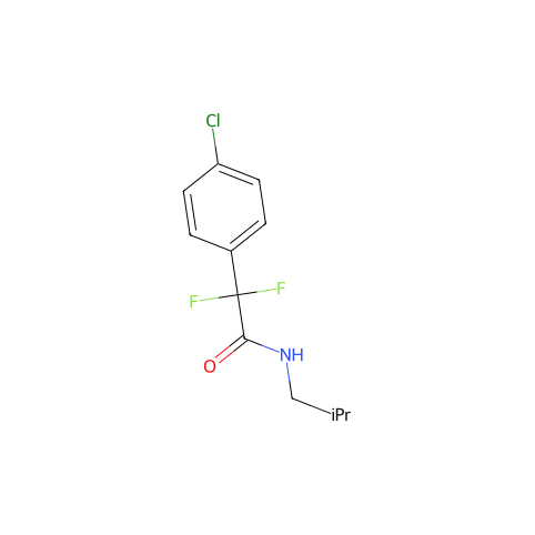 CC(C)CNC(=O)C(F)(F)c1ccc(Cl)cc1